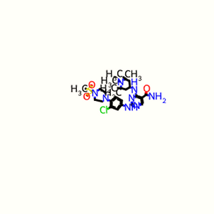 CN1C(C)(C)CC(Nc2nc(Nc3ccc(N4CCN(S(C)(=O)=O)CC4)c(Cl)c3)ncc2C(N)=O)CC1(C)C